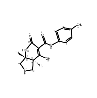 Cc1ccc(NC(=O)C2=C(O)[C@H]3CNC[C@@H]3NC2=O)cc1